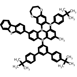 Cc1cc2c3c(c1)N(c1ccc(C(C)(C)C)cc1)c1cc4c(cc1B3c1cc(-c3ccc5c(c3)sc3ccccc35)ccc1N2c1cc(-c2ccc(C(C)(C)C)cc2)cc(-c2ccc(C(C)(C)C)cc2)c1)OCCCO4